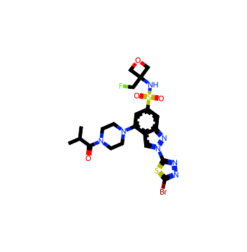 CC(C)C(=O)N1CCN(c2cc(S(=O)(=O)NC3(CF)COC3)cc3nn(-c4nnc(Br)s4)cc23)CC1